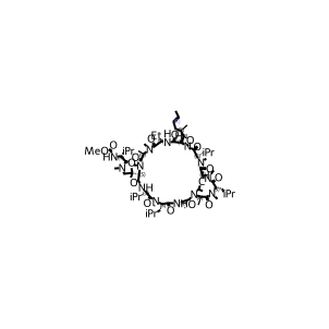 C/C=C/C[C@@H](C)[C@H]1ON2C(=O)[C@H](C(C)C)N(C)C(=O)[C@@H]3CC(C)N(C(=O)[C@H](C)NC(=O)[C@H](CC(C)C)N(C)C(=O)[C@H](C(C)C)NC(=O)[C@H](C(C)(C)CN(C)C(=O)[C@H](NC(=O)OC)C(C)C)N(C)C(=O)[C@@H](C)N(C)C(=O)[C@H](CC)NC(=O)[C@H]12)[C@H](C)C(=O)N(C)[C@@H](CC(C)C)C(=O)N3C